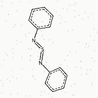 c1ccc(N=S=Nc2ccccc2)cc1